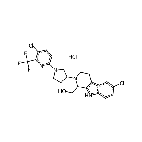 Cl.OCC1c2[nH]c3ccc(Cl)cc3c2CCN1C1CCN(c2ccc(Cl)c(C(F)(F)F)n2)C1